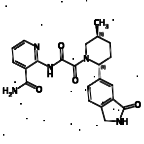 C[C@H]1CC[C@H](c2ccc3c(c2)C(=O)NC3)N(C(=O)C(=O)Nc2ncccc2C(N)=O)C1